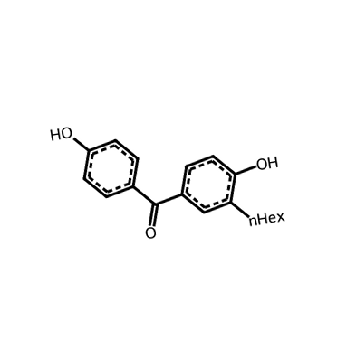 CCCCCCc1cc(C(=O)c2ccc(O)cc2)ccc1O